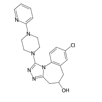 OC1Cc2cc(Cl)ccc2-n2c(nnc2N2CCN(c3ccccn3)CC2)C1